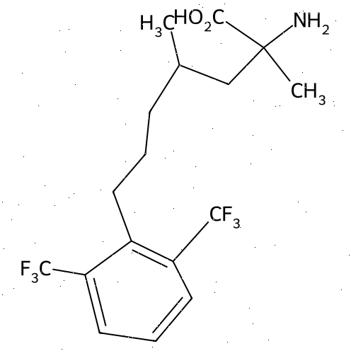 CC(CCCc1c(C(F)(F)F)cccc1C(F)(F)F)CC(C)(N)C(=O)O